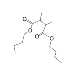 CCCCOC(=O)C(C)C(C)C(=O)OCCCC